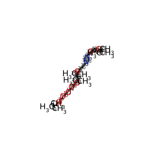 CC(C)(C)CCOCCOCCOCCOCCOC(C)(C)CCC(C)(C)OCCCCCN1CCN(CCO[C@H]2C[C@H](OC(C)(C)C)C2)CC1